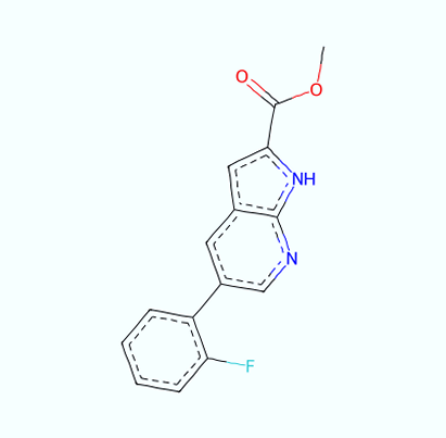 COC(=O)c1cc2cc(-c3ccccc3F)cnc2[nH]1